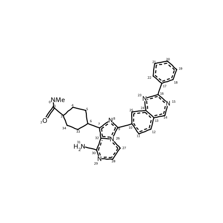 CNC(=O)C1CCC(c2nc(-c3ccc4cnc(-c5ccccc5)nc4c3)n3ccnc(N)c23)CC1